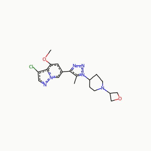 COc1cc(-c2nnn(C3CCN(C4COC4)CC3)c2C)cn2ncc(Cl)c12